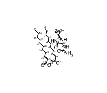 CCCCCCCCC=CC(=O)[O-].CCCCCCCCC=CC(=O)[O-].NC(=O)NC1NC(=O)NC1=O.[Zn+2]